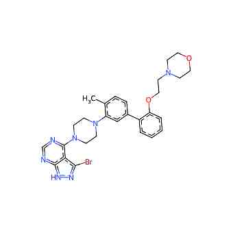 Cc1ccc(-c2ccccc2OCCN2CCOCC2)cc1N1CCN(c2ncnc3[nH]nc(Br)c23)CC1